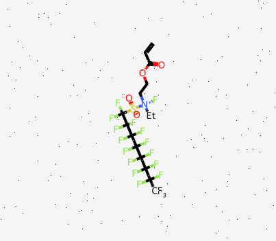 C=CC(=O)OCC[N+](F)(CC)S(=O)(=O)C(F)(F)C(F)(F)C(F)(F)C(F)(F)C(F)(F)C(F)(F)C(F)(F)C(F)(F)F